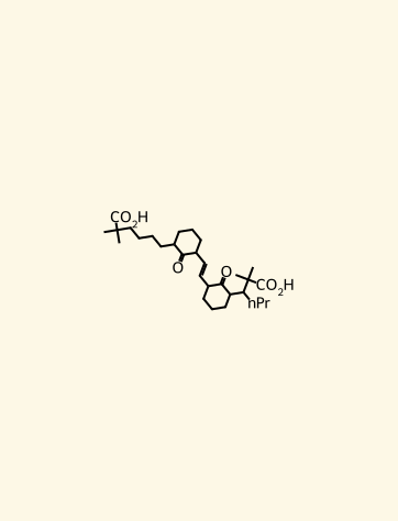 CCCC(C1CCCC(C=CC2CCCC(CCCCC(C)(C)C(=O)O)C2=O)C1=O)C(C)(C)C(=O)O